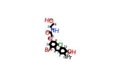 CC(C)c1cc(Cc2c(Cl)cc(OCC(=O)NCCO)cc2Br)ccc1O